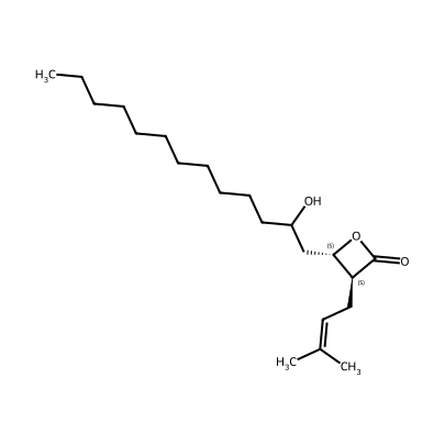 CCCCCCCCCCCC(O)C[C@@H]1OC(=O)[C@H]1CC=C(C)C